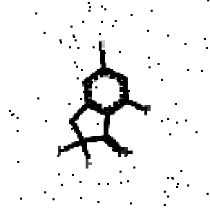 Fc1cc(F)c2c(c1)CC(F)(F)C2=P